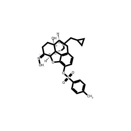 Cc1ccc(S(=O)(=O)Oc2ccc3c4c2O[C@H]2/C(=N\O)CC[C@@]5(O)[C@@H](C3)N(CC3CC3)CC[C@]425)cc1